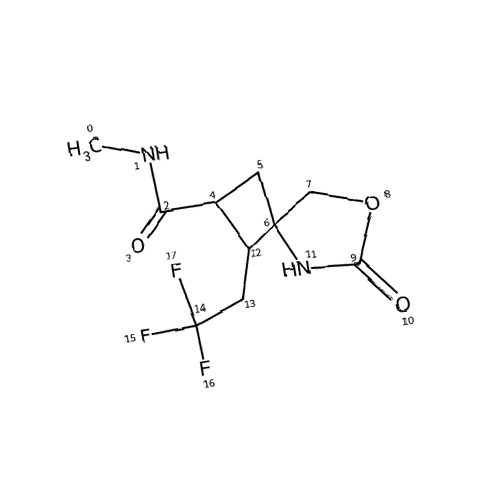 CNC(=O)C1CC2(COC(=O)N2)C1CC(F)(F)F